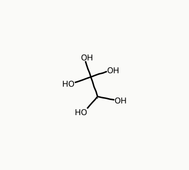 O[C](O)C(O)(O)O